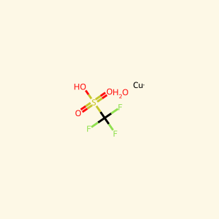 O.O=S(=O)(O)C(F)(F)F.[Cu]